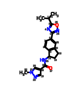 CC(C)c1nc(-c2ccc3c(c2)CCC3NC(=O)c2cnn(C)c2)no1